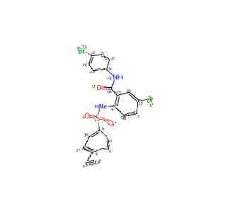 CC(C)(C)c1ccc(S(=O)(=O)Nc2ccc(Br)cc2C(=O)Nc2ccc(Br)cc2)cc1